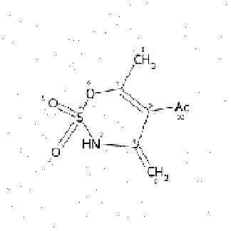 C=C1NS(=O)(=O)OC(C)=C1C(C)=O